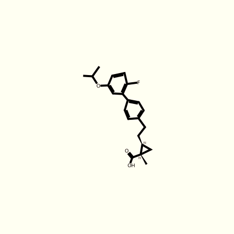 CC(C)Oc1ccc(F)c(-c2ccc(CC[C@H]3C[C@]3(C)C(=O)O)cc2)c1